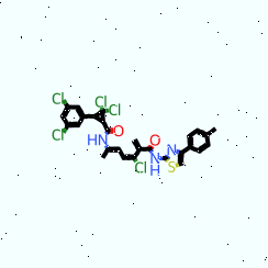 C=C(C(=O)Nc1nc(-c2ccc(C)cc2)cs1)/C(Cl)=C\C=C(/C)NC(=O)C1C(c2cc(Cl)cc(Cl)c2)C1(Cl)Cl